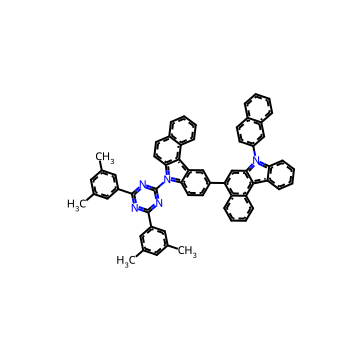 Cc1cc(C)cc(-c2nc(-c3cc(C)cc(C)c3)nc(-n3c4ccc(-c5cc6c(c7ccccc57)c5ccccc5n6-c5ccc6ccccc6c5)cc4c4c5ccccc5ccc43)n2)c1